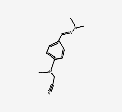 CN(C)/N=C/c1ccc(N(C)CC#N)cc1